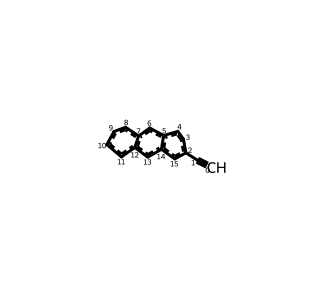 C#Cc1ccc2cc3ccccc3cc2c1